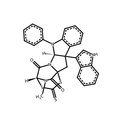 CN1C(=O)C23CC4(c5c[nH]c6ccccc56)c5ccccc5N(c5ccccc5)[C@@H]4N2C(=O)[C@H]1SC(=S)S3